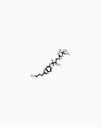 C=C(CNC(=O)OC(C)(C)C)C(F)(F)Oc1ccc2nc(CCCC)oc2c1